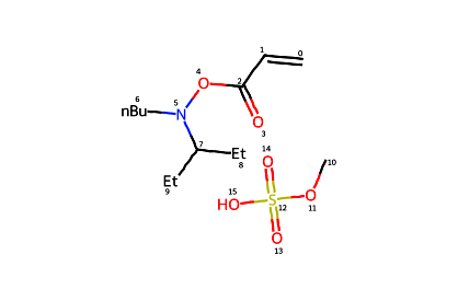 C=CC(=O)ON(CCCC)C(CC)CC.COS(=O)(=O)O